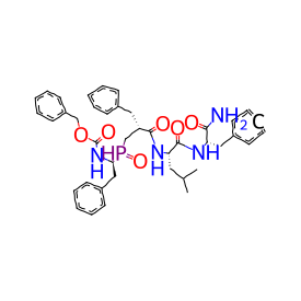 CC(C)C[C@H](NC(=O)[C@@H](Cc1ccccc1)C[PH](=O)[C@@H](Cc1ccccc1)NC(=O)OCc1ccccc1)C(=O)N[C@@H](Cc1ccccc1)C(N)=O